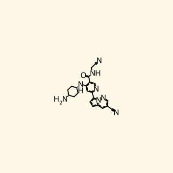 N#CCNC(=O)c1cnc(-c2ccc3cc(C#N)cnn23)cc1N[C@H]1CC[C@H](N)CC1